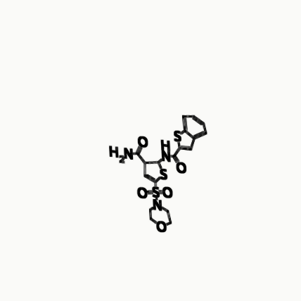 NC(=O)C1C=C(S(=O)(=O)N2CCOCC2)SC1NC(=O)c1cc2ccccc2s1